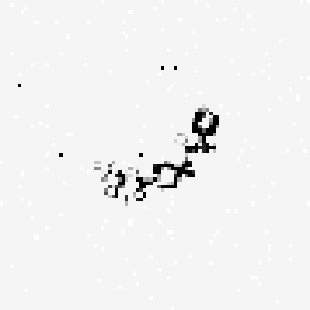 O=C(Nc1ccncc1)[C@@H]1CC12CCN(C(=O)OC(C(F)(F)F)C(F)(F)F)CC2